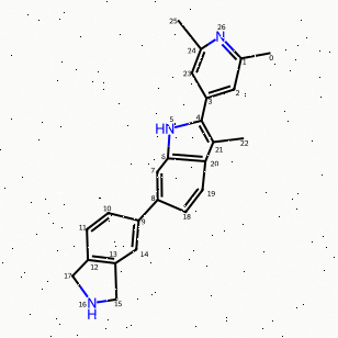 Cc1cc(-c2[nH]c3cc(-c4ccc5c(c4)CNC5)ccc3c2C)cc(C)n1